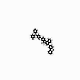 CC1(C)c2cc(-c3ccc(N(c4ccccc4)c4ccccc4)cc3)ccc2-c2c1cc(-c1ccc3oc4ccccc4c3c1)c1ccccc21